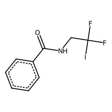 O=C(NCC(F)(F)I)c1ccccc1